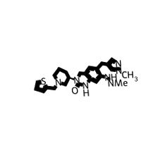 CNNc1cc2c(cc1Cc1cnn(C)c1)CN([C@@H]1CCCN(Cc3cccs3)C1)C(=O)N2